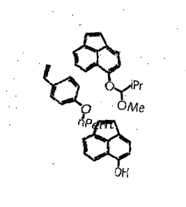 C=Cc1ccc(OCCCCC)cc1.COC(Oc1ccc2c3c(cccc13)C=C2)C(C)C.Oc1ccc2c3c(cccc13)C=C2